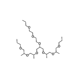 CCCOCCOCCOC(COC(C)COC(C)COCCC)COC(C)COC(C)COCCC